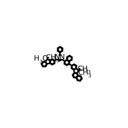 CC1(C)c2ccccc2-c2ccc(-c3cc(-c4ccc(-c5ccc6c(c5)-c5ccc7ccccc7c5C6(C)C)c5ccccc45)nc(-c4ccccc4)n3)cc21